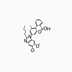 CCCCc1nc2cc(OC)c(OC)cc2n1-c1ccc(-c2ccccc2C(=O)O)c(C)c1